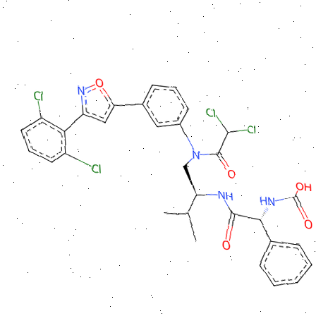 CC(C)[C@@H](CN(C(=O)C(Cl)Cl)c1cccc(-c2cc(-c3c(Cl)cccc3Cl)no2)c1)NC(=O)[C@H](NC(=O)O)c1ccccc1